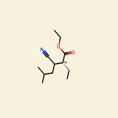 CCOC(=O)[C@H](CC)C(C#N)CC(C)C